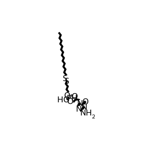 CCCCCCCCCCCCCCCCSSCCCCO[PH]1(O)COC(Cn2cnc(N)nc2=O)CO1